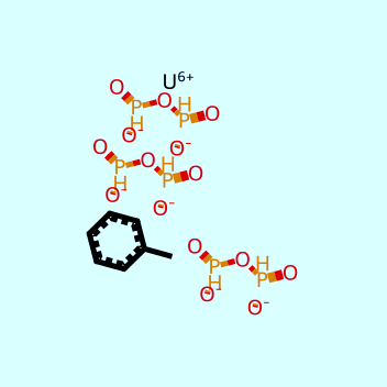 Cc1ccccc1.O=[PH]([O-])O[PH](=O)[O-].O=[PH]([O-])O[PH](=O)[O-].O=[PH]([O-])O[PH](=O)[O-].[U+6]